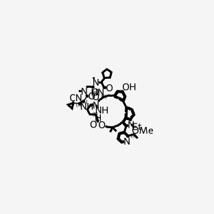 CCn1c(-c2cccnc2[C@H](C)OC)c2c3cc(ccc31)-c1cc(O)cc(c1)C[C@H](NC(=O)C(C1CCCC1)N(C)C(=O)CN(C)C(=O)[C@H]1N[C@H]1C1(C#N)CC1)C(=O)N1CCC[C@H](N1)C(=O)OCC(C)(C)C2